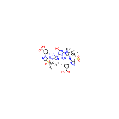 CC(C)(C)c1nn(-c2nc(O)nc(-n3nc(C(C)(C)C)c(N=Nc4c(S(C)(=O)=O)cnn4-c4cccc(C(=O)O)c4)c3N)n2)c(N)c1N=Nc1c(C[SH](=O)=O)cnn1-c1cccc(C(=O)O)c1